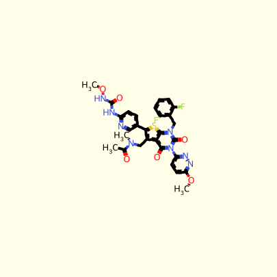 CONC(=O)Nc1ccc(-c2sc3c(c2CN(C)C(C)=O)c(=O)n(-c2ccc(OC)nn2)c(=O)n3Cc2c(F)cccc2F)cn1